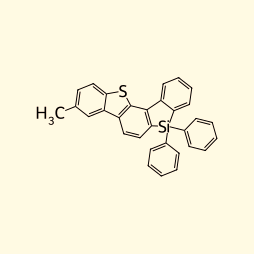 Cc1ccc2sc3c4c(ccc3c2c1)[Si](c1ccccc1)(c1ccccc1)c1ccccc1-4